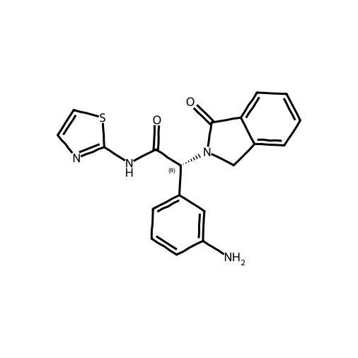 Nc1cccc([C@H](C(=O)Nc2nccs2)N2Cc3ccccc3C2=O)c1